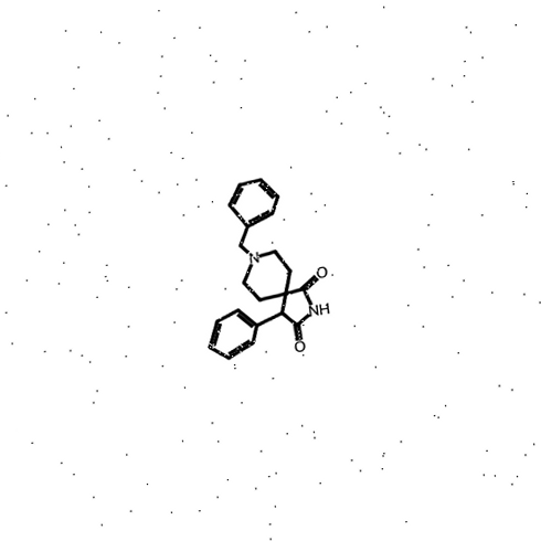 O=C1NC(=O)C2(CCN(Cc3ccccc3)CC2)C1c1ccccc1